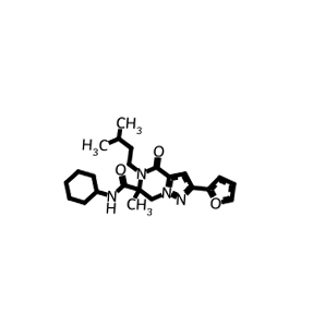 CC(C)CCN1C(=O)c2cc(-c3ccco3)nn2CC1(C)C(=O)NC1CCCCC1